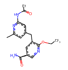 CCC(=O)Nc1cc(Cc2cc(C(N)=O)cnc2OCC(F)(F)F)cc(C)n1